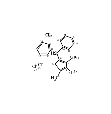 CC1=[C]([Ti+3])C(C(C)(C)C)=C([SiH](c2ccccc2)c2ccccc2)C1.[Cl-].[Cl-].[Cl-]